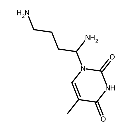 Cc1cn(C(N)CCCN)c(=O)[nH]c1=O